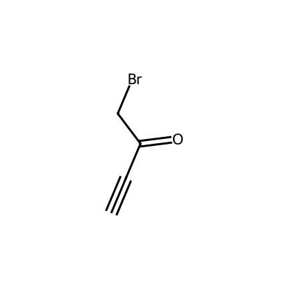 C#CC(=O)CBr